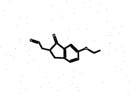 CCOc1ccc2c(c1)C(=O)C(CC=O)C2